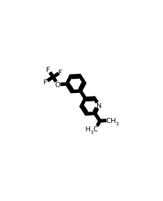 CC(C)c1ccc(-c2cccc(OC(F)(F)F)c2)cn1